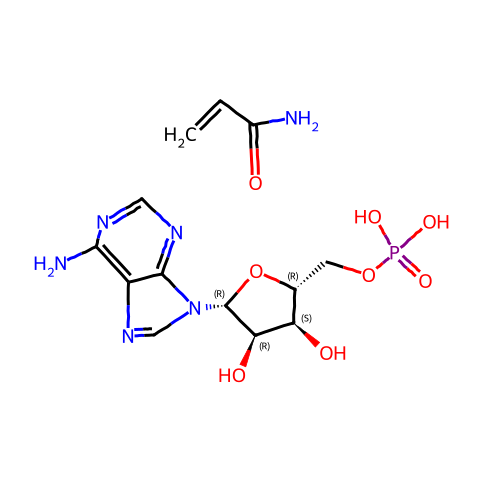 C=CC(N)=O.Nc1ncnc2c1ncn2[C@@H]1O[C@H](COP(=O)(O)O)[C@@H](O)[C@H]1O